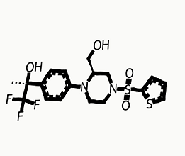 C[C@](O)(c1ccc(N2CCN(S(=O)(=O)c3cccs3)C[C@@H]2CO)cc1)C(F)(F)F